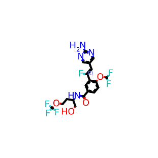 Nc1ncc(/C=C(\F)c2cc(C(=O)NC(CO)CCOC(F)(F)F)ccc2OC(F)F)cn1